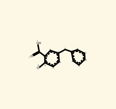 O=C(O)c1cc(Cc2ccccc2)ccc1Cl